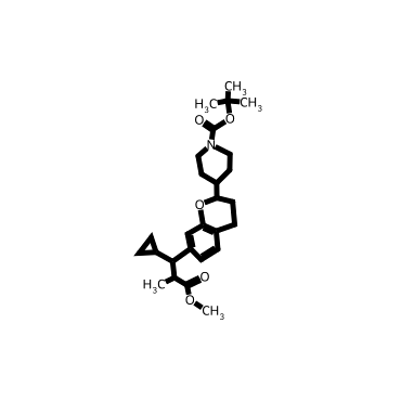 COC(=O)C(C)C(c1ccc2c(c1)OC(C1CCN(C(=O)OC(C)(C)C)CC1)CC2)C1CC1